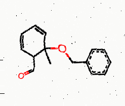 CC1(OCc2ccccc2)C=CC=CC1C=O